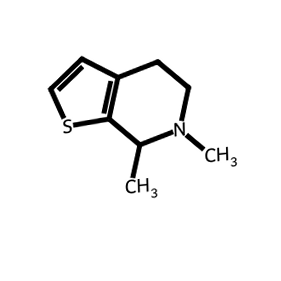 CC1c2sccc2CCN1C